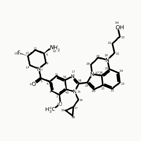 COc1cc(C(=O)N2C[C@H](N)C[C@@H](F)C2)cc2nc(-c3cc4cccc5c4n3CCN5CCCO)n(CC3CC3)c12